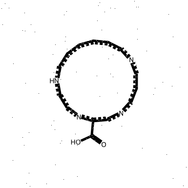 O=C(O)c1cncccncccccc[nH]ccn1